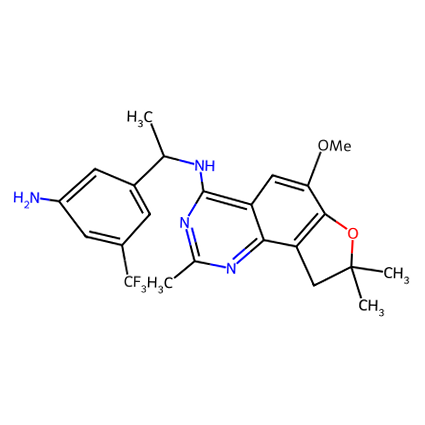 COc1cc2c(NC(C)c3cc(N)cc(C(F)(F)F)c3)nc(C)nc2c2c1OC(C)(C)C2